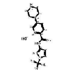 Cl.[2H]C([2H])([2H])n1ccc(NC(=O)c2ccc(N3CCNCC3)cn2)n1